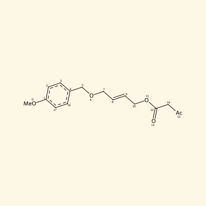 COc1ccc(COCC=CCOC(=O)CC(C)=O)cc1